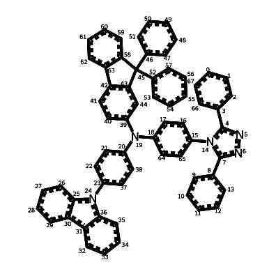 c1ccc(-c2nnc(-c3ccccc3)n2-c2ccc(N(c3ccc(-n4c5ccccc5c5ccccc54)cc3)c3ccc4c(c3)C(c3ccccc3)(c3ccccc3)c3ccccc3-4)cc2)cc1